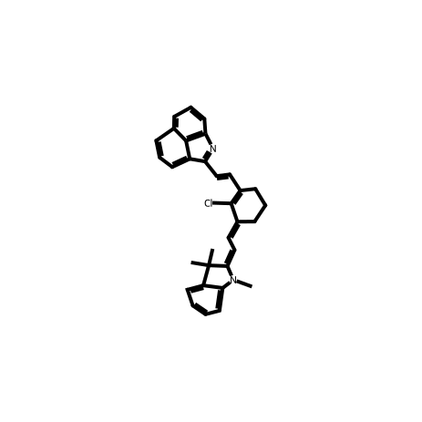 CN1/C(=C/C=C2\CCCC(/C=C/C3=Nc4cccc5cccc3c45)=C2Cl)C(C)(C)c2ccccc21